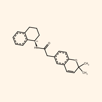 CC1(C)C=Cc2cc(CC(=O)N[C@@H]3CCCc4ccccc43)ccc2O1